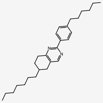 CCCCCCCC1CCc2nc(-c3ccc(CCCCCC)cc3)ncc2C1